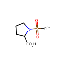 CCCS(=O)(=O)N1CCCC1C(=O)O